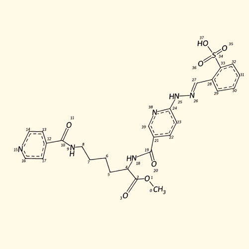 COC(=O)C(CCCCNC(=O)c1ccncc1)NC(=O)c1ccc(NN=Cc2ccccc2S(=O)(=O)O)nc1